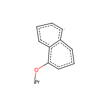 CC(C)Oc1cccc2[c]cccc12